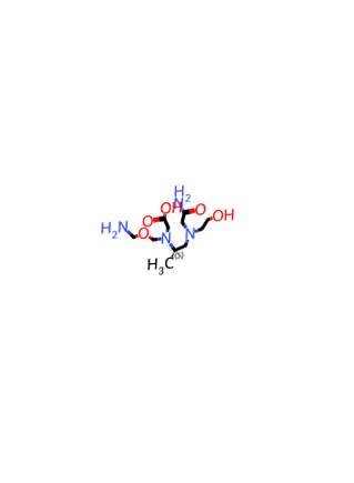 C[C@@H](CN(CCO)CC(N)=O)N(COCN)CC(=O)O